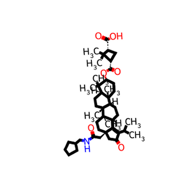 CC(C)C1=C2[C@H]3CC[C@@H]4[C@@]5(C)CC[C@H](OC(=O)[C@H]6C[C@@H](C(=O)O)C6(C)C)C(C)(C)[C@@H]5CC[C@@]4(C)[C@]3(C)CC[C@@]2(CC(=O)NCC2CCCC2)CC1=O